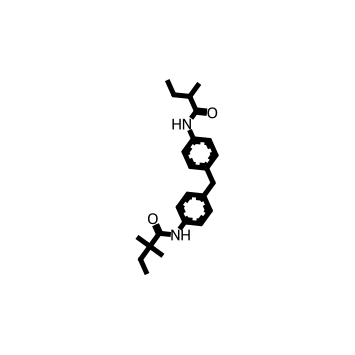 CCC(C)C(=O)Nc1ccc(Cc2ccc(NC(=O)C(C)(C)CC)cc2)cc1